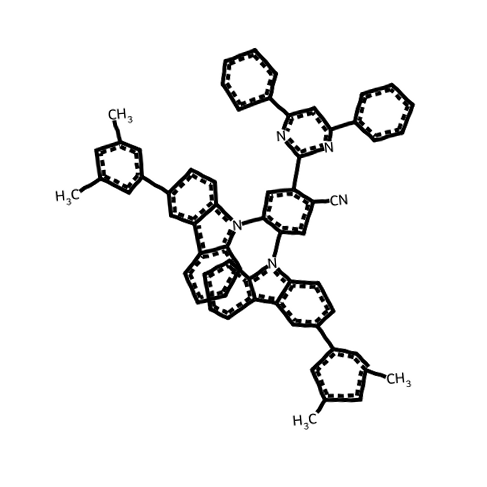 Cc1cc(C)cc(-c2ccc3c(c2)c2ccccc2n3-c2cc(C#N)c(-c3nc(-c4ccccc4)cc(-c4ccccc4)n3)cc2-n2c3ccccc3c3cc(-c4cc(C)cc(C)c4)ccc32)c1